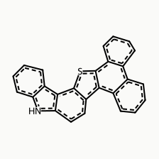 c1ccc2c(c1)[nH]c1ccc3c(sc4c5ccccc5c5ccccc5c34)c12